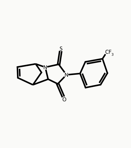 O=C1C2C3C=CC(C3)N2C(=S)N1c1cccc(C(F)(F)F)c1